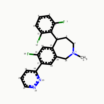 CN1CCC(c2c(F)cccc2F)c2cc(F)c(-c3cccnn3)cc2C1